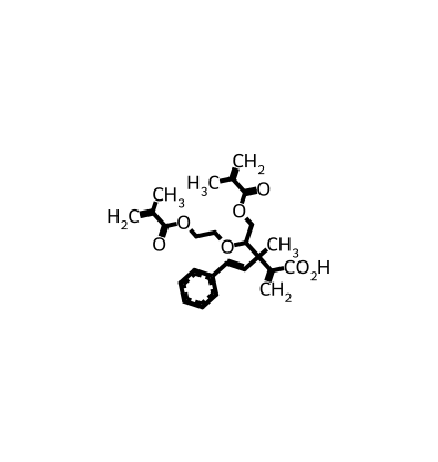 C=C(C)C(=O)OCCOC(COC(=O)C(=C)C)C(C)(C=Cc1ccccc1)C(=C)C(=O)O